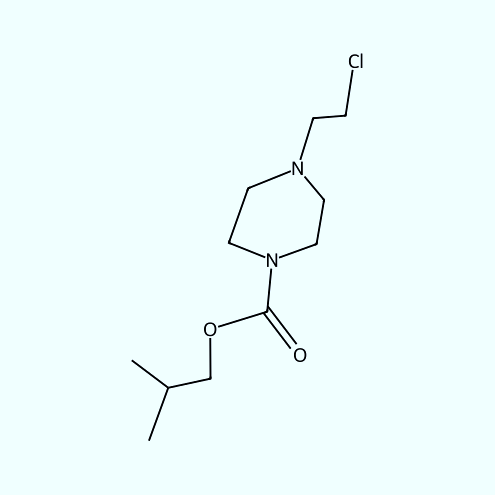 CC(C)COC(=O)N1CCN(CCCl)CC1